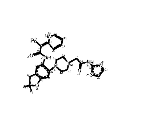 CC(C)/C(C(=O)Nc1cc2c(cc1N1CCN(CC(=O)Nc3nccs3)CC1)OC(C)(C)C2)=C1/C=CC=CN1